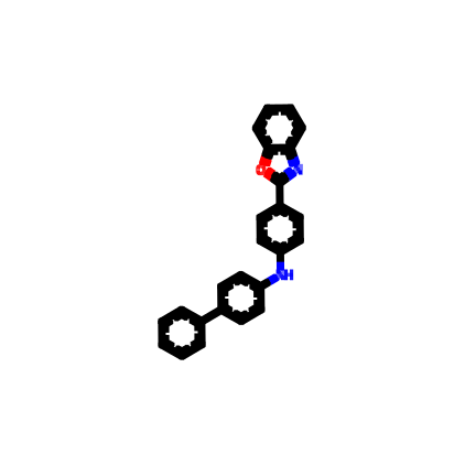 c1ccc(-c2ccc(Nc3ccc(-c4nc5ccccc5o4)cc3)cc2)cc1